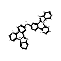 c1ccc2c(c1)nc1c3cc(Oc4ccc5c(c4)c4nc6ccccc6n4c4cccnc54)ccc3c3ncccc3n21